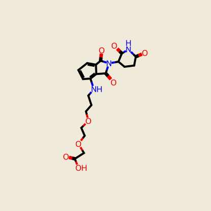 O=C(O)COCCOCCCNc1cccc2c1C(=O)N(C1CCC(=O)NC1=O)C2=O